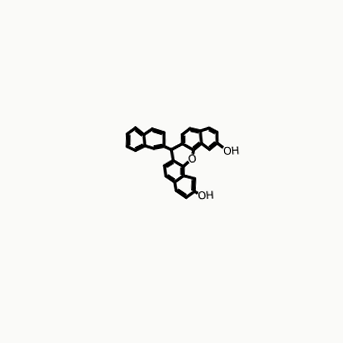 Oc1ccc2ccc3c(c2c1)Oc1c(ccc2ccc(O)cc12)C3c1ccc2ccccc2c1